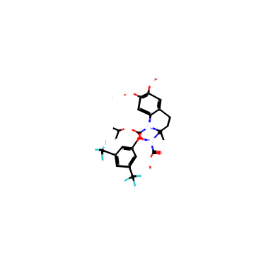 COC(=O)N(Cc1cc(C(F)(F)F)cc(C(F)(F)F)c1)C1(C)CCc2cc(OC)c(OC)cc2N1C(=O)OC(C)C